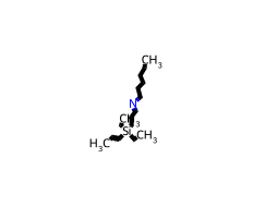 CC=C[Si](CC)(CC)CCC=NCCCCCC